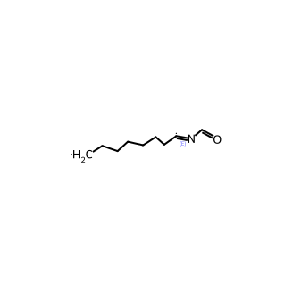 [CH2]CCCCCC/[C]=N/C=O